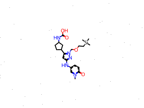 Cn1cc(Nc2cc(C3CCC(NC(=O)O)C3)n(COCC[Si](C)(C)C)n2)ccc1=O